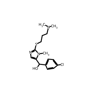 CN(C)CCCSc1ncc(C(O)c2ccc(Cl)cc2)n1C